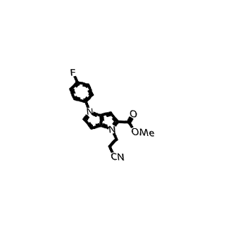 COC(=O)c1cc2c(ccn2-c2ccc(F)cc2)n1CCC#N